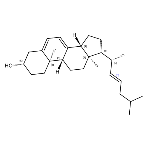 CC(C)C/C=C/[C@@H](C)[C@H]1CC[C@H]2C3=CC=C4C[C@@H](O)CC[C@]4(C)[C@H]3CC[C@]12C